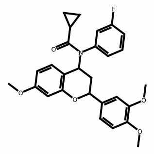 COc1ccc2c(c1)OC(c1ccc(OC)c(OC)c1)CC2N(C(=O)C1CC1)c1cccc(F)c1